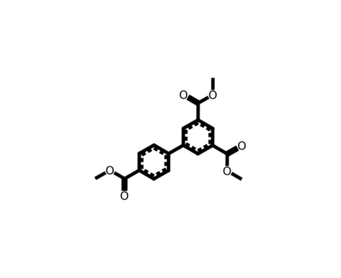 COC(=O)c1ccc(-c2cc(C(=O)OC)cc(C(=O)OC)c2)cc1